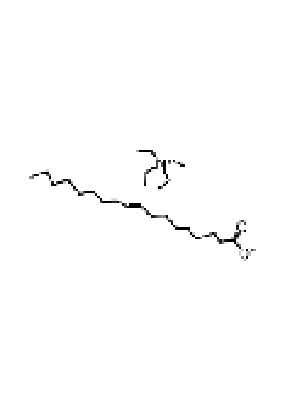 CCCCCCCCC=CCCCCCCCC(=O)[O-].CC[N+](CC)(CC)CC